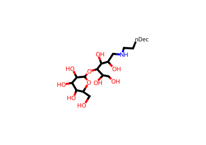 CCCCCCCCCCCCNCC(O)C(O)C(OC1OC(CO)C(O)C(O)C1O)C(O)CO